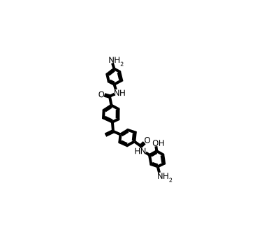 C=C(c1ccc(C(=O)Nc2ccc(N)cc2)cc1)c1ccc(C(=O)Nc2cc(N)ccc2O)cc1